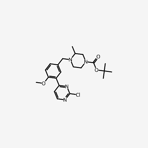 COc1ccc(CN2CCN(C(=O)OC(C)(C)C)CC2C)cc1-c1ccnc(Cl)n1